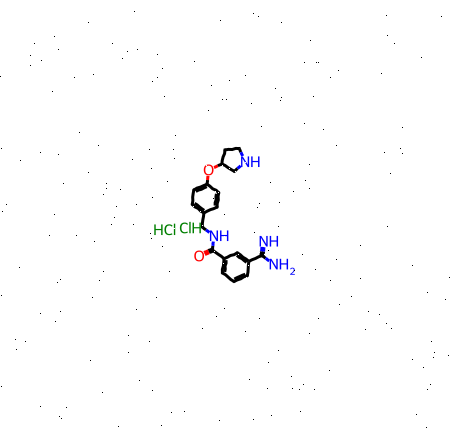 Cl.Cl.N=C(N)c1cccc(C(=O)NCc2ccc(OC3CCNC3)cc2)c1